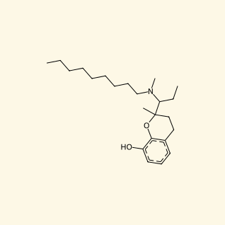 CCCCCCCCCN(C)C(CC)C1(C)CCc2cccc(O)c2O1